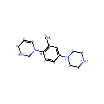 Cc1cc(N2CCNCC2)ccc1N1C=CCNC1